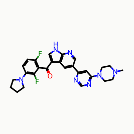 CN1CCN(c2cc(-c3cnc4[nH]cc(C(=O)c5c(F)ccc(N6CCCC6)c5F)c4c3)ncn2)CC1